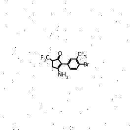 NC1=C(c2ccc(Br)c(C(F)(F)F)c2)C(=O)C(C(F)(F)F)C1